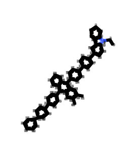 CCn1c2ccccc2c2cc(-c3ccc(-c4ccc(-c5c6ccccc6c(-c6ccc(-c7ccc(-c8ccccc8)cc7)cc6)c6cc(C)c(C)cc56)cc4)cc3)ccc21